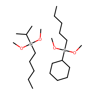 CCCCC[Si](OC)(OC)C(C)C.CCCCC[Si](OC)(OC)C1CCCCC1